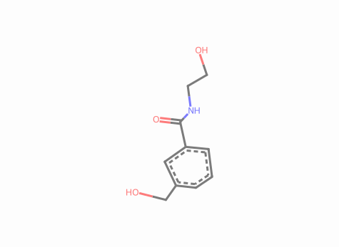 O=C(NCCO)c1cccc(CO)c1